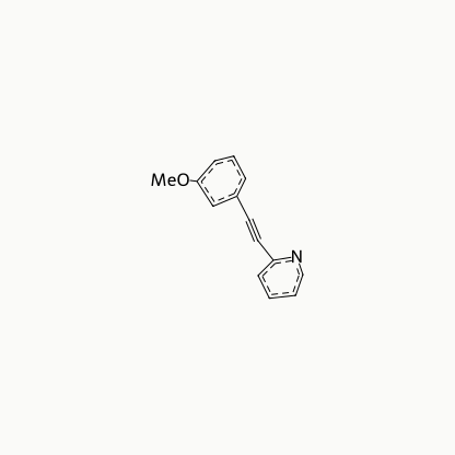 COc1cccc(C#Cc2ccccn2)c1